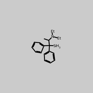 CCN(CC)C(C)C([SiH3])(c1ccccc1)c1ccccc1